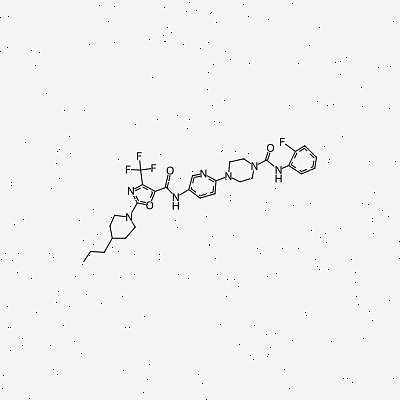 CCCC1CCN(c2nc(C(F)(F)F)c(C(=O)Nc3ccc(N4CCN(C(=O)Nc5ccccc5F)CC4)nc3)o2)CC1